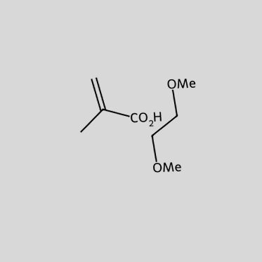 C=C(C)C(=O)O.COCCOC